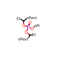 CCCCCC(CC)OP(=O)(OCCC)OC(CC)CCCCC